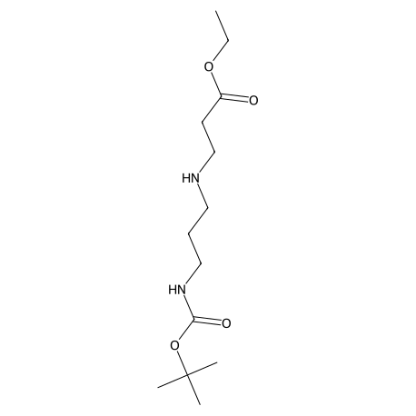 CCOC(=O)CCNCCCNC(=O)OC(C)(C)C